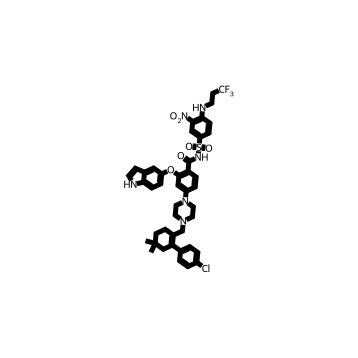 CC1(C)CCC(CN2CCN(c3ccc(C(=O)NS(=O)(=O)c4ccc(NCCC(F)(F)F)c([N+](=O)[O-])c4)c(Oc4ccc5[nH]ccc5c4)c3)CC2)=C(c2ccc(Cl)cc2)C1